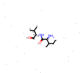 CCC(C)C(N)C(=O)N[C@H]([C]=O)C(C)C